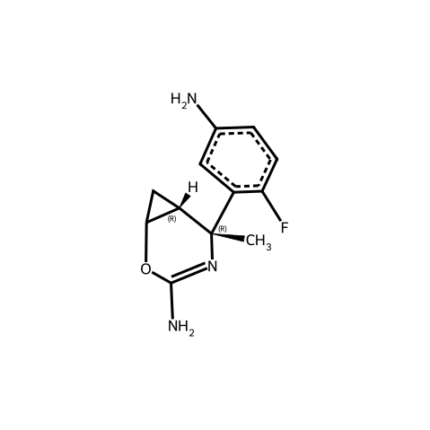 C[C@@]1(c2cc(N)ccc2F)N=C(N)OC2C[C@@H]21